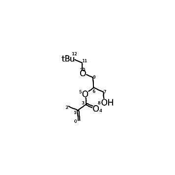 C=C(C)C(=O)OC(CO)COCC(C)(C)C